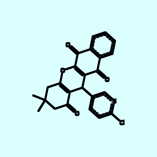 CC1(C)CC(=O)C2=C(C1)OC1=C(C(=O)c3ccccc3C1=O)C2c1ccc(Cl)nc1